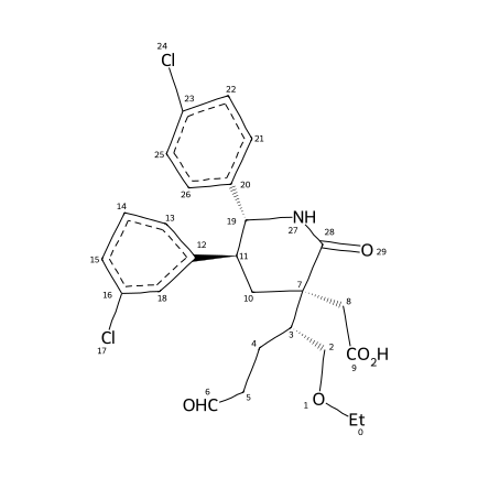 CCOC[C@H](CCC=O)[C@@]1(CC(=O)O)C[C@@H](c2cccc(Cl)c2)[C@H](c2ccc(Cl)cc2)NC1=O